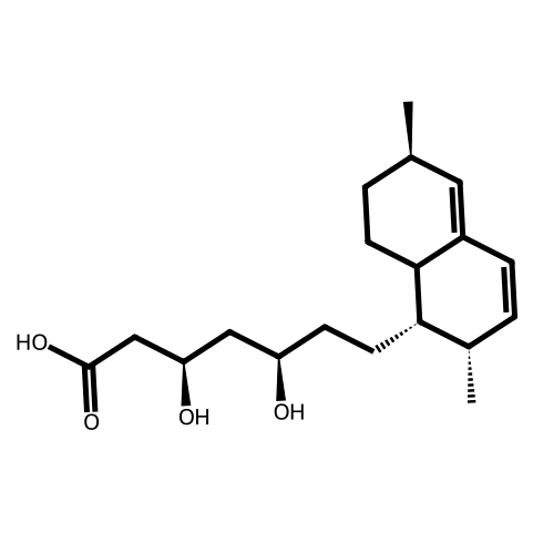 C[C@H]1C=C2C=C[C@H](C)[C@H](CC[C@@H](O)C[C@@H](O)CC(=O)O)C2CC1